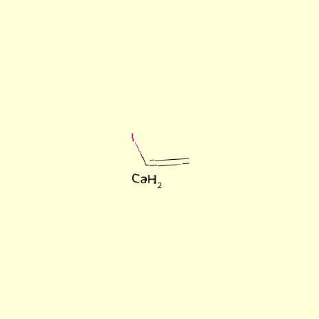 C=CI.[CaH2]